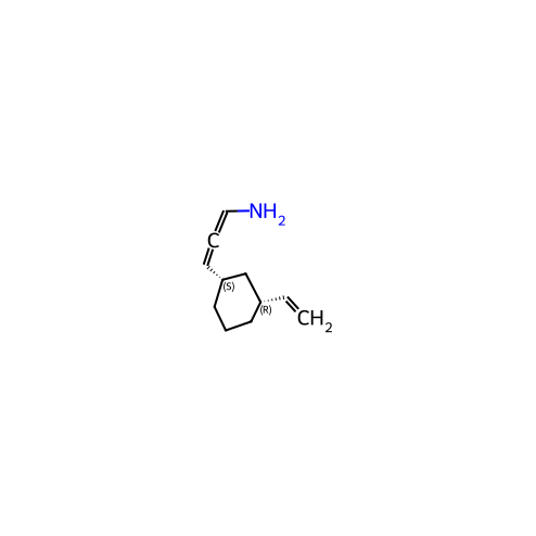 C=C[C@@H]1CCC[C@H](C=C=CN)C1